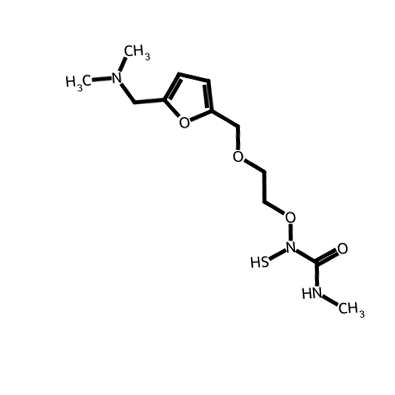 CNC(=O)N(S)OCCOCc1ccc(CN(C)C)o1